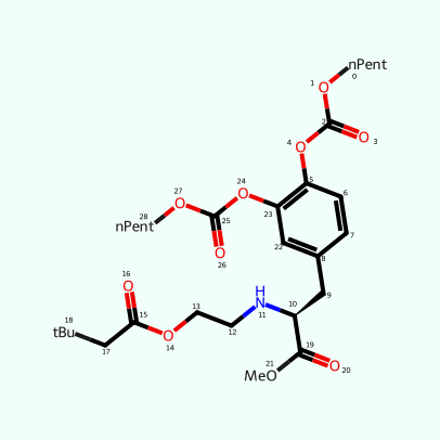 CCCCCOC(=O)Oc1ccc(C[C@H](NCCOC(=O)CC(C)(C)C)C(=O)OC)cc1OC(=O)OCCCCC